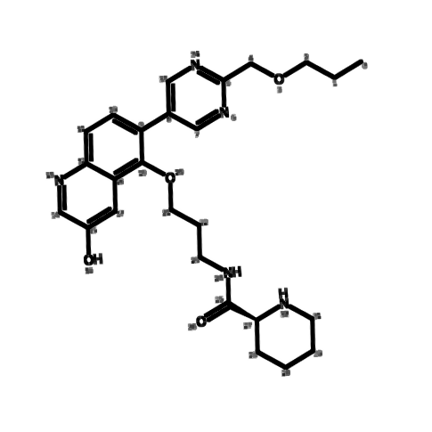 CCCOCc1ncc(-c2ccc3ncc(O)cc3c2OCCCNC(=O)[C@@H]2CCCCN2)cn1